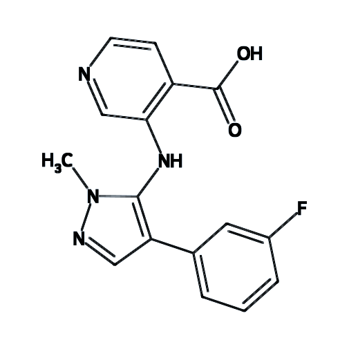 Cn1ncc(-c2cccc(F)c2)c1Nc1cnccc1C(=O)O